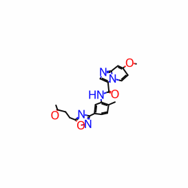 COc1ccn2c(C(=O)Nc3cc(-c4noc(CCC(C)=O)n4)ccc3C)cnc2c1